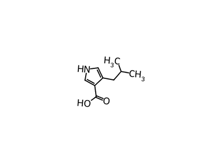 CC(C)Cc1c[nH]cc1C(=O)O